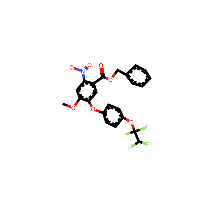 COc1cc([N+](=O)[O-])c(C(=O)OCc2ccccc2)cc1Oc1ccc(OC(F)(F)C(F)F)cc1